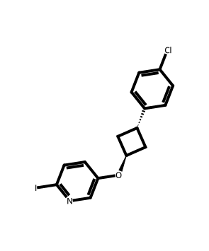 Clc1ccc([C@H]2C[C@H](Oc3ccc(I)nc3)C2)cc1